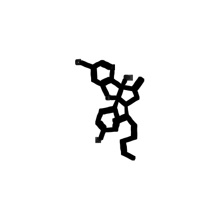 C=C(/C=C\C=C/C)[C@@H]1CC(=C)[C@@]2(O)c3ncc(Cl)cc3O[C@@]12c1ccc(Br)cc1